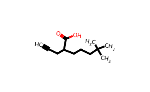 C#CCC(CCCC(C)(C)C)C(=O)O